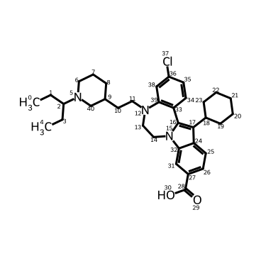 CCC(CC)N1CCCC(CCN2CCn3c(c(C4CCCCC4)c4ccc(C(=O)O)cc43)-c3ccc(Cl)cc32)C1